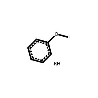 [CH2]Oc1ccccc1.[KH]